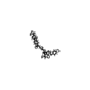 COc1ccc(Cn2ncc3c(c(C(F)F)nn3CCOCCC(=O)N3CCN(c4ncc(C(F)(F)F)cn4)CC3)c2=O)cc1